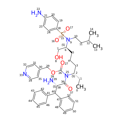 CC[C@@H](CCC[C@@H](CO)N(CCC(C)C)S(=O)(=O)c1ccc(N)cc1)N(C(=O)OCc1ccncc1)C(=O)[C@@H](N)C(c1ccccc1)c1ccccc1